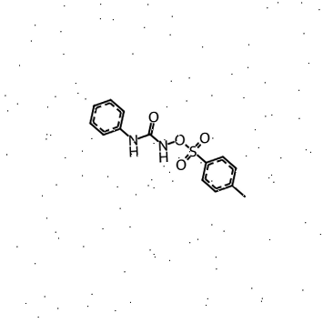 Cc1ccc(S(=O)(=O)ONC(=O)Nc2ccccc2)cc1